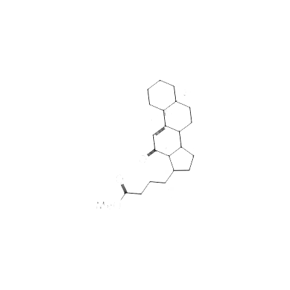 COC(=O)CC[C@@H](C)C1CCC2C3CC[C@@H]4CCCC[C@]4(C)C3=CC(=O)[C@@]21C